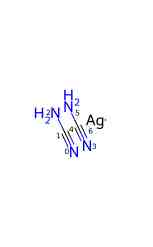 N#CN.N#CN.[Ag]